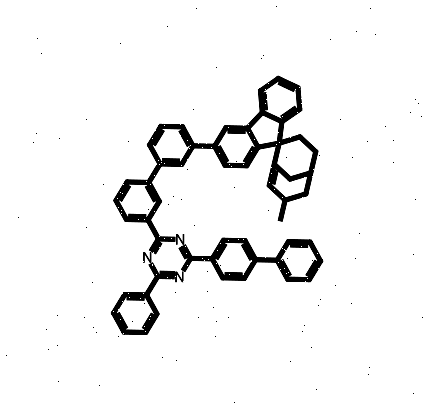 CC1C=C2CC(CCC23c2ccccc2-c2cc(-c4cccc(-c5cccc(-c6nc(-c7ccccc7)nc(-c7ccc(-c8ccccc8)cc7)n6)c5)c4)ccc23)C1